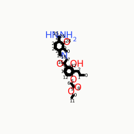 CCCc1c(OCC(=O)OCC)ccc(C(=O)CN2C=C3C=CC(C(=N)N)C(=O)C3C2)c1O